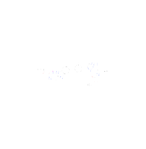 C=C1C[C@@H](c2nc(-c3ccc(-c4ccc5[nH]c([C@@H]6CCCN6C(=O)OC(C)(C)C)nc5c4)cc3)c[nH]2)N(C(=O)OC(C)(C)C)C1